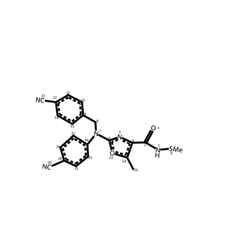 CSNC(=O)c1nc(N(Cc2ccc(C#N)cc2)c2ccc(C#N)cc2)oc1C